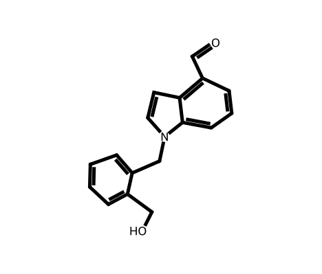 O=Cc1cccc2c1ccn2Cc1ccccc1CO